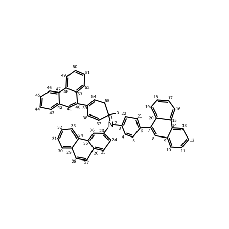 CC1(N(c2ccc(-c3cc4ccccc4c4ccccc34)cc2)c2ccc3ccc4ccccc4c3c2)C=CC(c2cc3ccccc3c3ccccc23)=CC1